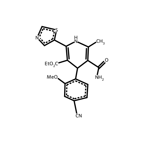 CCOC(=O)C1=C(c2cncs2)NC(C)=C(C(N)=O)C1c1ccc(C#N)cc1OC